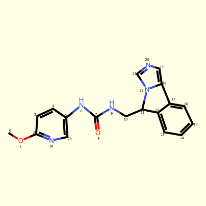 COc1ccc(NC(=O)NCC2c3ccccc3-c3cncn32)cn1